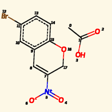 CC(=O)O.O=[N+]([O-])C1=Cc2cc(Br)ccc2OC1